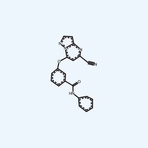 N#Cc1cc(Oc2cccc(C(=O)Nc3ccccc3)c2)n2nccc2n1